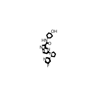 O=C(N[C@H]1CC[C@@H](O)CC1)c1cnn2ccc(N3CCC[C@@H]3c3cncc(F)c3)nc12